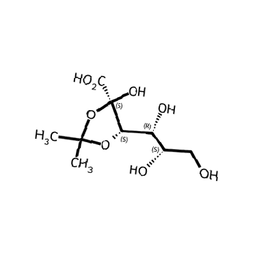 CC1(C)O[C@@H]([C@H](O)[C@@H](O)CO)[C@@](O)(C(=O)O)O1